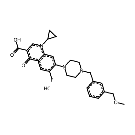 COCc1cccc(CN2CCN(c3cc4c(cc3F)c(=O)c(C(=O)O)cn4C3CC3)CC2)c1.Cl